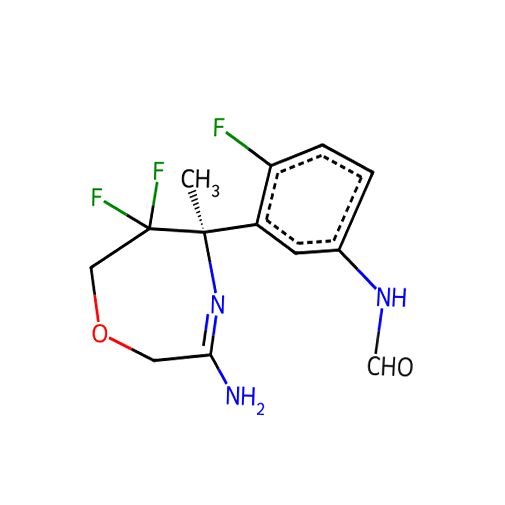 C[C@]1(c2cc(NC=O)ccc2F)N=C(N)COCC1(F)F